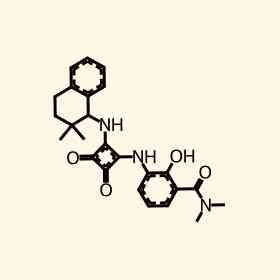 CN(C)C(=O)c1cccc(Nc2c(NC3c4ccccc4CCC3(C)C)c(=O)c2=O)c1O